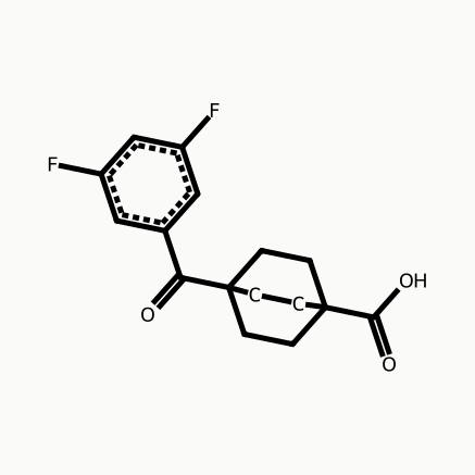 O=C(O)C12CCC(C(=O)c3cc(F)cc(F)c3)(CC1)CC2